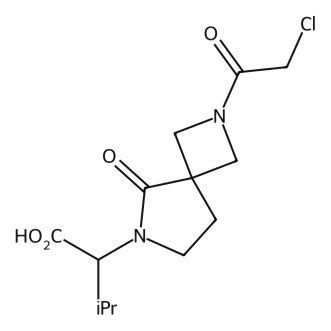 CC(C)C(C(=O)O)N1CCC2(CN(C(=O)CCl)C2)C1=O